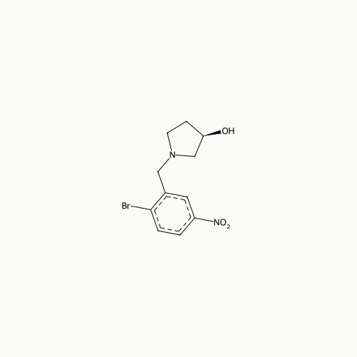 O=[N+]([O-])c1ccc(Br)c(CN2CC[C@@H](O)C2)c1